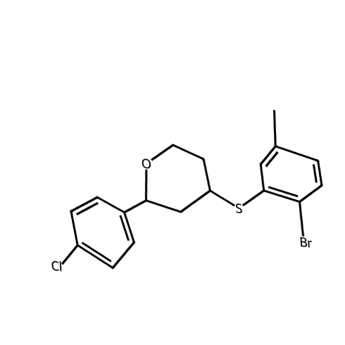 Cc1ccc(Br)c(SC2CCOC(c3ccc(Cl)cc3)C2)c1